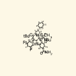 CC(C)(C)OC(=O)N1C=C(c2ccccc2)CC1C(O[Si](C)(C)C(C)(C)C)C(Cc1cc(F)cc(F)c1)Nc1cccc(C(N)=O)c1